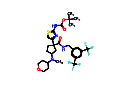 CN(C1CCOCC1)C1CCC(C(=O)NCc2cc(C(F)(F)F)cc(C(F)(F)F)c2)(c2csc(NC(=O)OC(C)(C)C)n2)C1